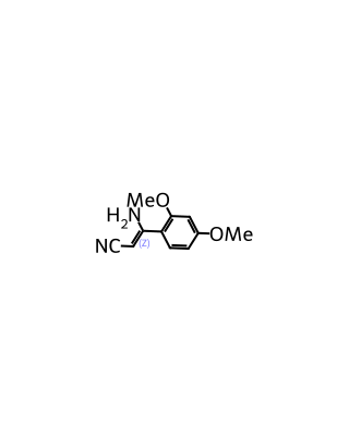 COc1ccc(/C(N)=C/C#N)c(OC)c1